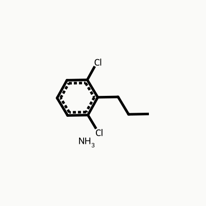 CCCc1c(Cl)cccc1Cl.N